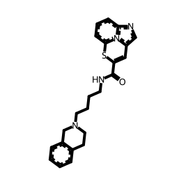 O=C(NCCCCN1CCc2ccccc2C1)C1=Cc2cnc3cccc(n23)S1